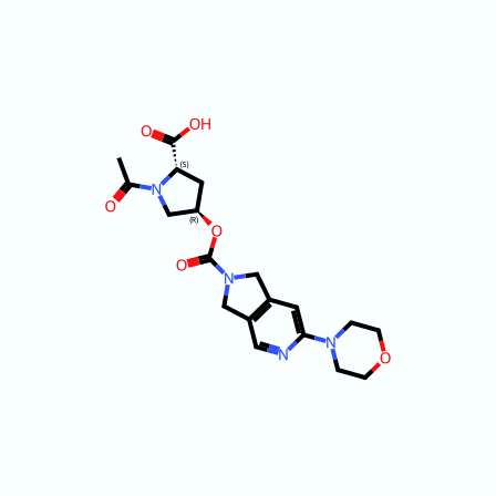 CC(=O)N1C[C@H](OC(=O)N2Cc3cnc(N4CCOCC4)cc3C2)C[C@H]1C(=O)O